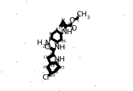 CCOC(=O)C1(NC2CC[C@@H](N)[C@@H](NC(=O)c3cc4cc(Cl)ccc4[nH]3)C2)CC1